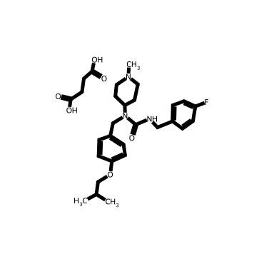 CC(C)COc1ccc(CN(C(=O)NCc2ccc(F)cc2)C2CCN(C)CC2)cc1.O=C(O)CCC(=O)O